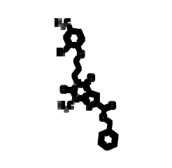 Cc1ccc(OCCCn2c(=O)c3cc(C(=O)OCc4ccccc4)sc3n(C)c2=O)c(Br)c1